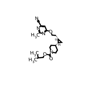 Cc1nc(C#N)cc(OCC[C@@H]2C[C@@H]2C2CCN(C(=O)OCC(C)C)CC2)n1